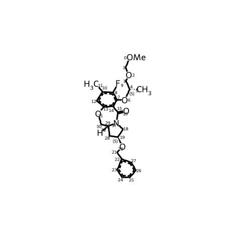 COCOC[C@H](C)Oc1c(F)c(C)cc2c1C(=O)N1C[C@@H](OCc3ccccc3)C[C@@H]1CO2